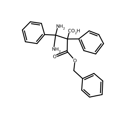 NC(N)(c1ccccc1)C(C(=O)O)(C(=O)OCc1ccccc1)c1ccccc1